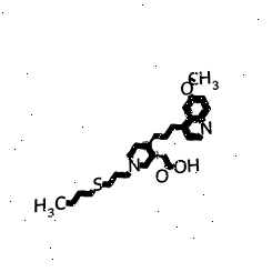 CCCCSCCCN1CC[C@@H](CCCc2ccnc3ccc(OC)cc23)[C@@H](CC(=O)O)C1